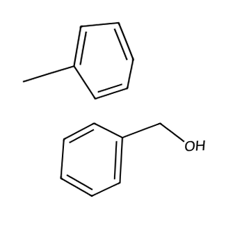 Cc1ccccc1.OCc1ccccc1